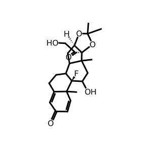 CC1(C)O[C@@H]2CC3C4CCC5=CC(=O)C=CC5(C)[C@@]4(F)C(O)CC3(C)[C@]2(C(=O)CO)O1